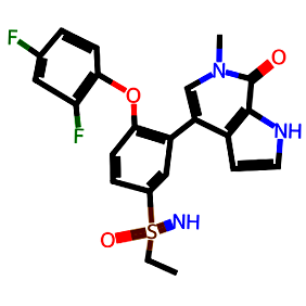 CCS(=N)(=O)c1ccc(Oc2ccc(F)cc2F)c(-c2cn(C)c(=O)c3[nH]ccc23)c1